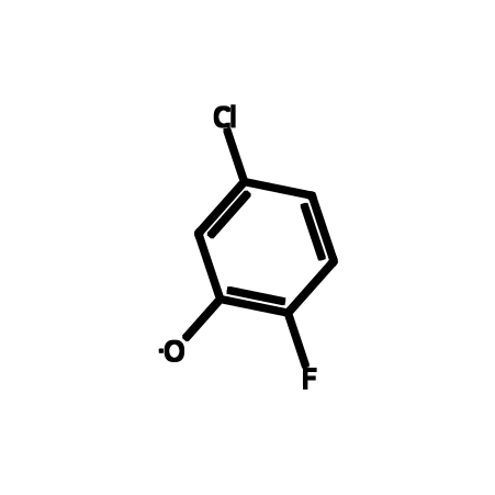 [O]c1cc(Cl)ccc1F